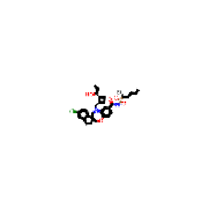 C=CCCC(CC)S(=O)(=O)NC(=O)c1ccc2c(c1)N(C[C@@H]1CC[C@@H]1C(O)C=C)CC1(CCc3cc(Cl)ccc31)CO2